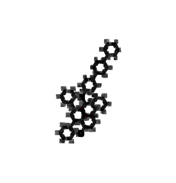 c1ccc(-c2ccc(-c3ccc(N(c4ccccc4-c4cc5c6c(cccc6c4)Oc4ccccc4-5)c4cccc5ccccc45)cc3)cc2)cc1